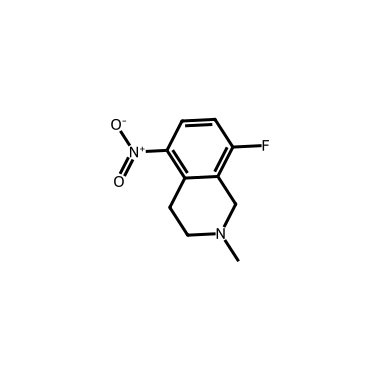 CN1CCc2c([N+](=O)[O-])ccc(F)c2C1